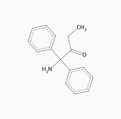 CCC(=O)C(N)(c1ccccc1)c1ccccc1